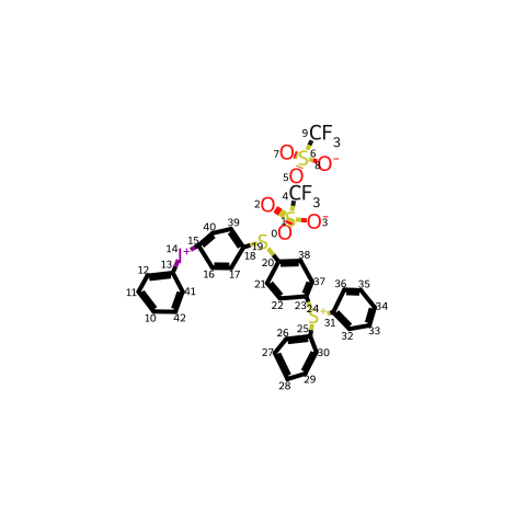 O=S(=O)([O-])C(F)(F)F.O=S(=O)([O-])C(F)(F)F.c1ccc([I+]c2ccc(Sc3ccc([S+](c4ccccc4)c4ccccc4)cc3)cc2)cc1